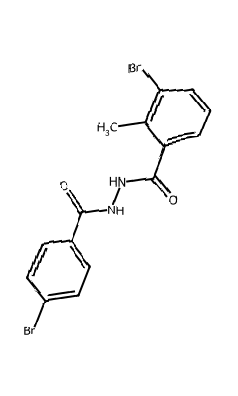 Cc1c(Br)cccc1C(=O)NNC(=O)c1ccc(Br)cc1